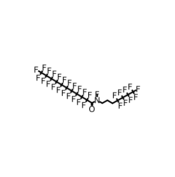 O=C(N(F)CCCC(F)(F)C(F)(F)C(F)(F)C(F)(F)F)C(F)(F)C(F)(F)C(F)(F)C(F)(F)C(F)(F)C(F)(F)C(F)(F)C(F)(F)C(F)(F)C(F)(F)F